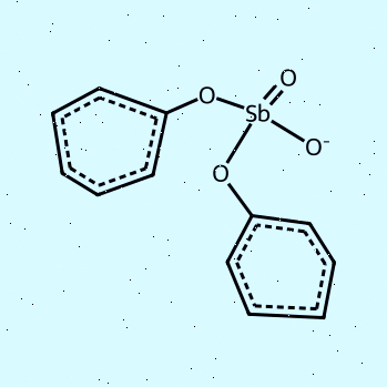 [O]=[Sb]([O-])([O]c1ccccc1)[O]c1ccccc1